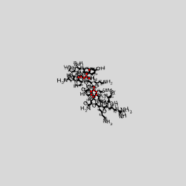 CC[C@H](C)[C@H](NC(=O)[C@H](CO)NC(=O)[C@H](CC(N)=O)NC(=O)[C@H](CC(C)C)NC(=O)[C@H](Cc1ccc(O)cc1)NC(=O)[C@H](CCCCN)NC(=O)[C@H](CCCCN)NC(=O)[C@@H](NC(=O)[C@H](C)NC(=O)[C@H](CCSC)NC(=O)[C@H](CCC(N)=O)NC(=O)[C@H](CCCCN)NC(=O)[C@H](CCCNC(=N)N)NC(=O)[C@@H](N)CC(C)C)C(C)C)C(=O)N[C@@H](CC(C)C)C(=O)N[C@@H](CC(N)=O)C(=O)O